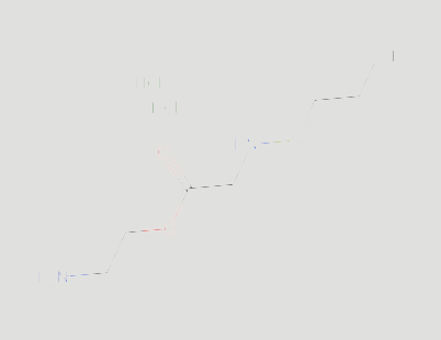 CCCSNCC(=O)OCCN.Cl.Cl